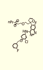 CCCS(=O)(=O)CCOCCC1(c2cc3c(Nc4ccc(OCc5cccc(F)c5)c(Cl)c4)ncnc3cc2F)CC=CO1